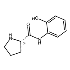 O=C(Nc1ccccc1O)[C@@H]1CCCN1